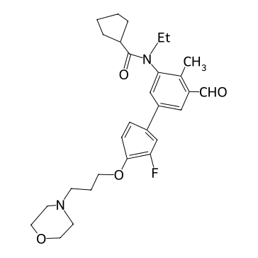 CCN(C(=O)C1CCCC1)c1cc(-c2ccc(OCCCN3CCOCC3)c(F)c2)cc(C=O)c1C